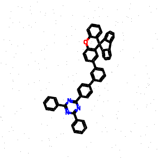 c1ccc(-c2nc(-c3ccccc3)nc(-c3ccc(-c4cccc(-c5ccc6c(c5)C5(c7ccccc7O6)c6ccccc6-c6ccccc65)c4)cc3)n2)cc1